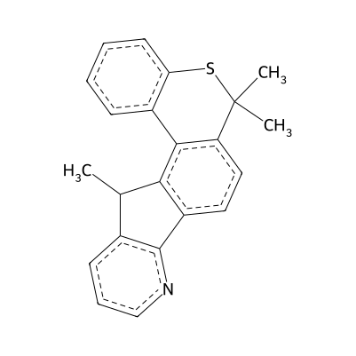 CC1c2cccnc2-c2ccc3c(c21)-c1ccccc1SC3(C)C